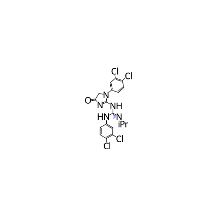 CC(C)/N=C(/NC1=NC(=O)CN1c1ccc(Cl)c(Cl)c1)Nc1ccc(Cl)c(Cl)c1